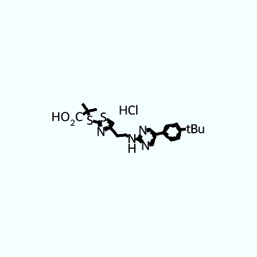 CC(C)(Sc1nc(CCNc2ncc(-c3ccc(C(C)(C)C)cc3)cn2)cs1)C(=O)O.Cl